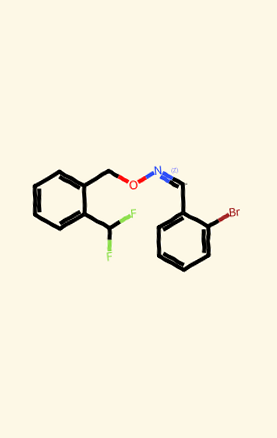 FC(F)c1ccccc1CO/N=[C]\c1ccccc1Br